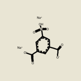 O=C([O-])c1cc(C(=O)[O-])cc(S(=O)(=O)O)c1.[Na+].[Na+]